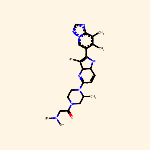 Cc1c(C2=C(C(C)C)C3N=C(N4CCN(C(=O)CN(C(C)C)C(C)C)C[C@@H]4C)C=CC3N2)cn2ncnc2c1C